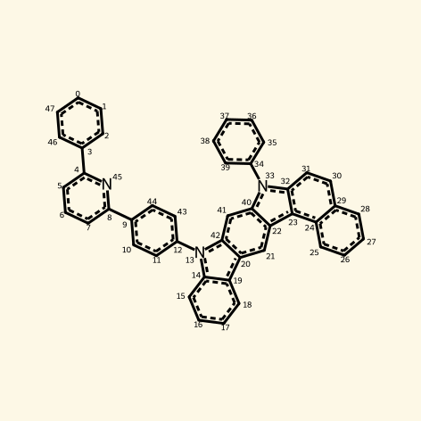 c1ccc(-c2cccc(-c3ccc(-n4c5ccccc5c5cc6c7c8ccccc8ccc7n(-c7ccccc7)c6cc54)cc3)n2)cc1